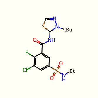 CCNS(=O)(=O)c1cc(Cl)c(F)c(C(=O)NC2SC=NN2C(C)(C)C)c1